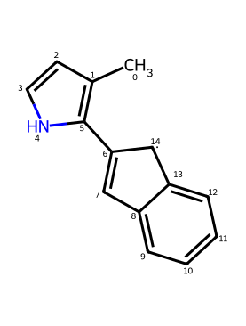 Cc1cc[nH]c1C1=Cc2ccccc2[CH]1